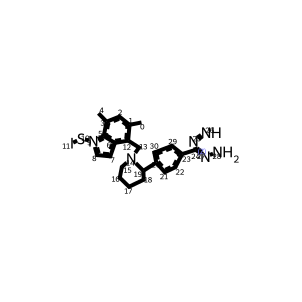 Cc1cc(C)c2c(ccn2SI)c1CN1CCCCC1c1ccc(/C(N=N)=N/N)cc1